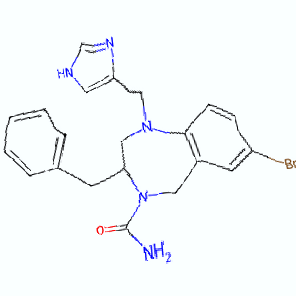 NC(=O)N1Cc2cc(Br)ccc2N(Cc2c[nH]cn2)CC1Cc1ccccc1